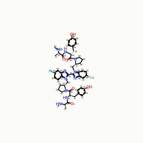 CN[C@H](C)C(=O)N[C@H](Cc1ccc(O)cc1)C(=O)N1CCC[C@H]1Cn1c(-c2nc3cc(F)ccc3n2C[C@@H]2CCCN2C(=O)[C@@H](Cc2ccc(O)cc2)NC(=O)[C@@H](C)NC)nc2cc(F)ccc21